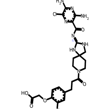 Nc1nc(N)c(C(=O)/N=C2\NCC3(CCN(C(=O)CCc4ccc(OCC(=O)O)c(Cl)c4)CC3)N2)nc1Cl